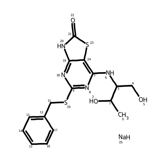 CC(O)C(CO)Nc1nc(SCc2ccccc2)nc2[nH]c(=O)sc12.[NaH]